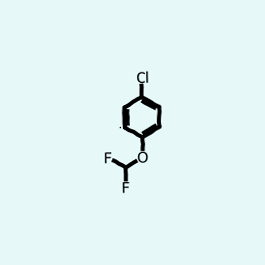 FC(F)Oc1[c]cc(Cl)cc1